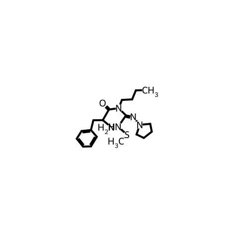 CCCCN(C(=O)C(N)Cc1ccccc1)C(=NN1CCCC1)NSC